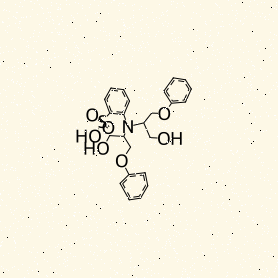 O=S(=O)(O)c1ccccc1N(C(CO)COc1ccccc1)C(CO)COc1ccccc1